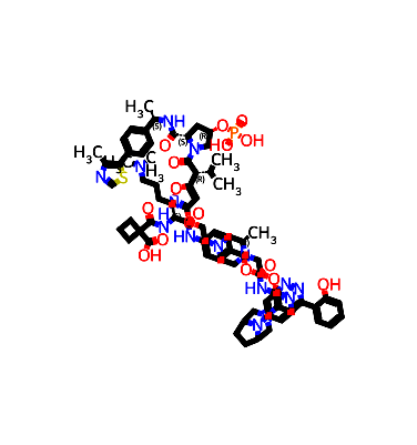 Cc1ncsc1-c1ccc([C@H](C)NC(=O)[C@@H]2C[C@@H](OP(=O)(O)O)CN2C(=O)[C@@H](c2cc(OCCN3CCN(CCOc4cc(N5C6CCC5CN(c5cc(-c7ccccc7O)nnc5NC(=O)OCc5ccc(NC(=O)[C@H](CCCCN(C)C)NC(=O)C7(C(=O)O)CCC7)cc5)C6)ccn4)[C@H](C)C3)no2)C(C)C)cc1